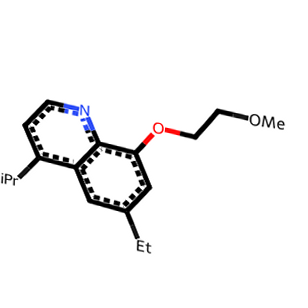 CCc1cc(OCCOC)c2nccc(C(C)C)c2c1